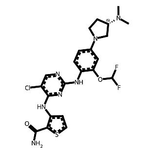 CN(C)[C@H]1CCN(c2ccc(Nc3ncc(Cl)c(Nc4ccsc4C(N)=O)n3)c(OC(F)F)c2)C1